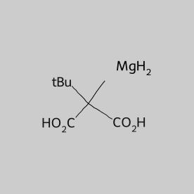 CC(C)(C)C(C)(C(=O)O)C(=O)O.[MgH2]